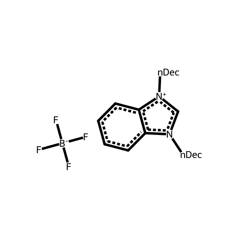 CCCCCCCCCCn1c[n+](CCCCCCCCCC)c2ccccc21.F[B-](F)(F)F